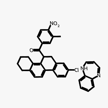 C1=CNc2ccccc2N=C1.Cc1cc(C(=O)C2Cc3cc(Cl)ccc3-c3ccc4c(c32)CCCC4)ccc1[N+](=O)[O-]